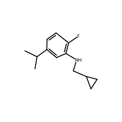 CC(C)c1ccc(F)c(NCC2CC2)c1